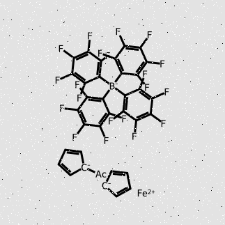 CC(=O)[c-]1cccc1.Fc1c(F)c(F)c([B-](c2c(F)c(F)c(F)c(F)c2F)(c2c(F)c(F)c(F)c(F)c2F)c2c(F)c(F)c(F)c(F)c2F)c(F)c1F.[Fe+2].c1cc[cH-]c1